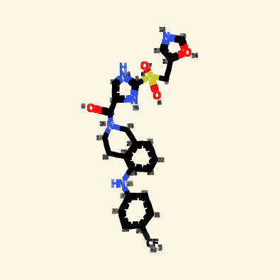 O=C(c1c[nH]c(S(=O)(=O)Cc2cnco2)n1)N1CCc2c(cccc2Nc2ccc(C(F)(F)F)cc2)C1